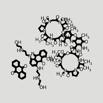 Cc1c2oc3c(C)ccc(C(=O)NC4C(=O)NC(C(C)C)C(=O)N5CCCC5C(=O)N(C)CC(=O)N(C)C(C(C)C)C(=O)OC4C)c3nc-2c(C(=O)NC2C(=O)NC(C(C)C)C(=O)N3CCCC3C(=O)N(C)CC(=O)N(C)C(C(C)C)C(=O)OC2C)c(N)c1=O.O=C1c2c(O)cccc2-c2nn(CCNCCO)c3ccc(NCCNCCO)c1c23.O=C1c2ccccc2C(=O)c2ccccc21